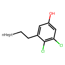 CCCCCCCCCc1cc(O)cc(Cl)c1Cl